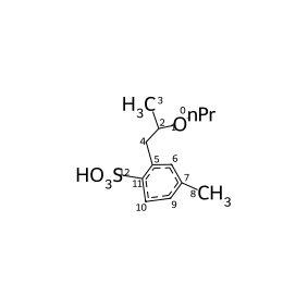 CCCOC(C)Cc1cc(C)ccc1S(=O)(=O)O